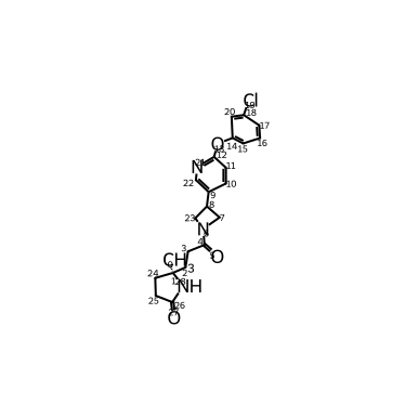 C[C@@]1(CCC(=O)N2CC(c3ccc(Oc4cccc(Cl)c4)nc3)C2)CCC(=O)N1